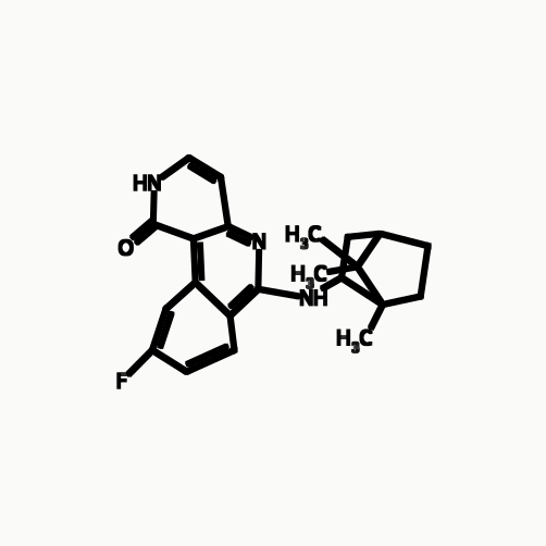 CC1(C)C2CCC1(C)C(Nc1nc3cc[nH]c(=O)c3c3cc(F)ccc13)C2